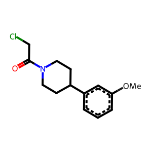 COc1cccc(C2CCN(C(=O)CCl)CC2)c1